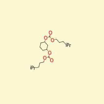 CC(C)CCCOC(=O)OC1CCCC(OC(=O)OCCCC(C)C)C1